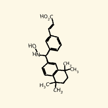 CC1(C)CCC(C)(C)c2cc(C(NO)c3cccc(C=CC(=O)O)c3)ccc21